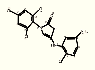 Nc1ccc(Cl)c(NC2=CN(c3c(Cl)cc(Cl)cc3Cl)C(=O)C2)c1